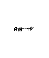 [N-]=[N+]=NCCCCCCCn1cc(-c2cccnc2)nn1